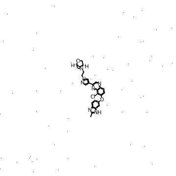 Cc1nc2ccc(Oc3ccc4ncc(-c5cnn(CCN6C[C@@H]7C[C@H]6CO7)c5)nc4c3Cl)cc2[nH]1